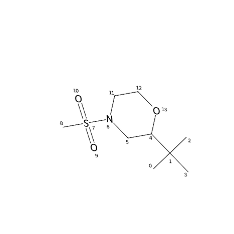 CC(C)(C)C1CN(S(C)(=O)=O)CCO1